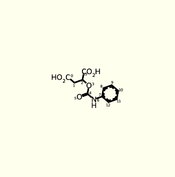 O=C(O)CC(OC(=O)Nc1ccccc1)C(=O)O